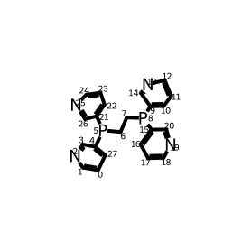 c1cncc(P(CCP(c2cccnc2)c2cccnc2)c2cccnc2)c1